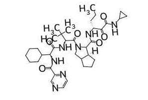 CCC[C@@H](NC(=O)C1[C@H]2CCCC2CN1C(=O)[C@@H](NC(=O)[C@@H](NC(=O)c1cnccn1)C1CCCCC1)C(C)(C)C)C(=O)C(=O)NC1CC1